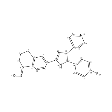 O=S=S1CCCc2cc(-c3cc(-c4ccncc4)c(-c4ccc(F)cc4)[nH]3)ccc21